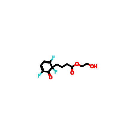 O=C(CCCC1(F)C(=O)C(F)=CC=C1F)OCCO